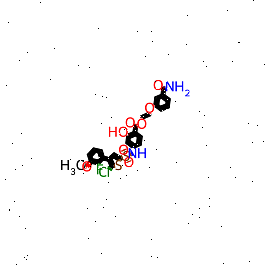 COc1cccc(-c2cc(S(=O)(=O)Nc3ccc(C(=O)OCCOc4cccc(C(N)=O)c4)c(O)c3)sc2Cl)c1F